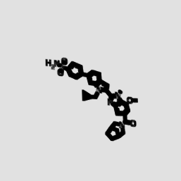 COc1cc(C(=O)N2CC3CCC(C3)C2)cc2nc(-c3cc4ccc(-c5ccc(S(N)(=O)=O)cc5)cc4n3CC3CC3)n(C)c12